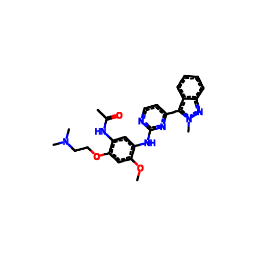 COc1cc(OCCN(C)C)c(NC(C)=O)cc1Nc1nccc(-c2c3ccccc3nn2C)n1